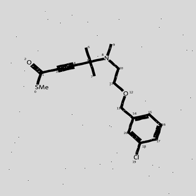 CSC(=O)C#CC(C)(C)N(C)CCOCc1cccc(Cl)c1